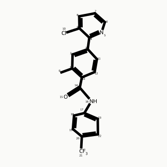 Cc1cc(-c2ncccc2Cl)ccc1C(=O)Nc1ccc(C(F)(F)F)cc1